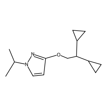 CC(C)n1ccc(OCC(C2CC2)C2CC2)n1